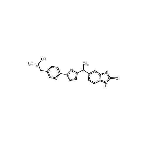 CC(c1ccc2[nH]c(=O)sc2c1)c1ccn(-c2ccc(C[C@H](C)O)cn2)n1